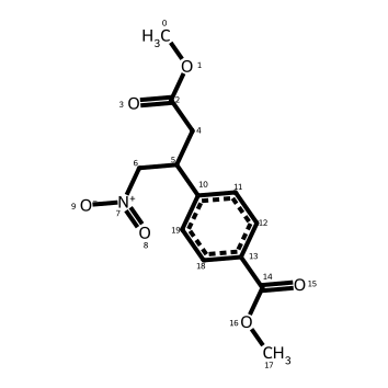 COC(=O)CC(C[N+](=O)[O-])c1ccc(C(=O)OC)cc1